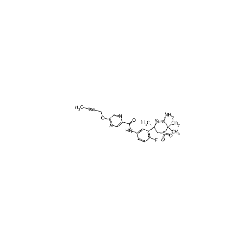 CC#CCOc1cnc(C(=O)Nc2ccc(F)c([C@]3(C)CS(=O)(=O)C(C)(C)C(N)=N3)c2)cn1